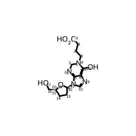 O=C(O)CCCN1CN=c2c(ncn2[C@H]2CC[C@@H](CO)O2)=C1O